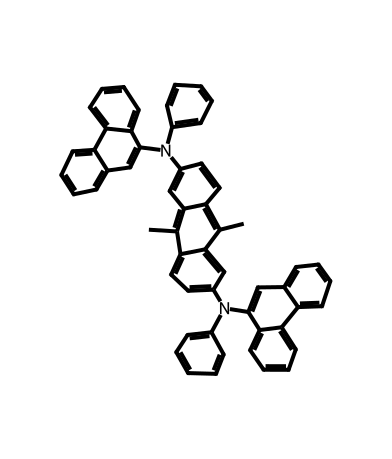 Cc1c2ccc(N(c3ccccc3)c3cc4ccccc4c4ccccc34)cc2c(C)c2ccc(N(c3ccccc3)c3cc4ccccc4c4ccccc34)cc12